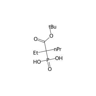 CCCC(CC)(C(=O)OC(C)(C)C)P(=O)(O)O